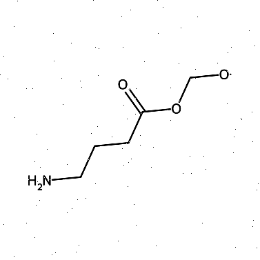 NCCCC(=O)OC[O]